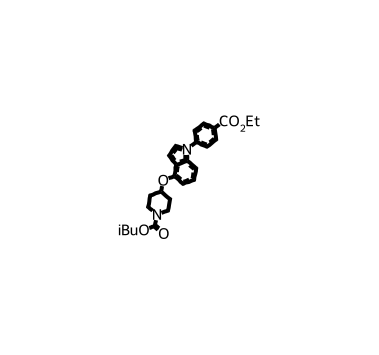 CCOC(=O)c1ccc(-n2ccc3c(OC4CCN(C(=O)OCC(C)C)CC4)cccc32)cc1